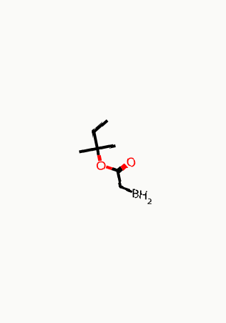 BCC(=O)OC(C)(C)CC